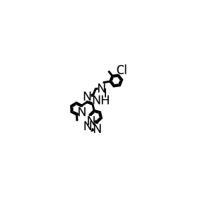 Cc1cccc(-c2nc(CN(I)Cc3cccc(Cl)c3C)[nH]c2-c2ccc3ncnn3c2)n1